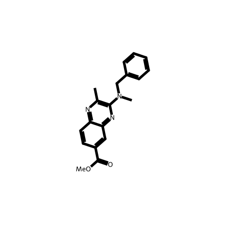 COC(=O)c1ccc2nc(C)c(N(C)Cc3ccccc3)nc2c1